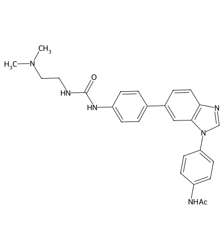 CC(=O)Nc1ccc(-n2cnc3ccc(-c4ccc(NC(=O)NCCN(C)C)cc4)cc32)cc1